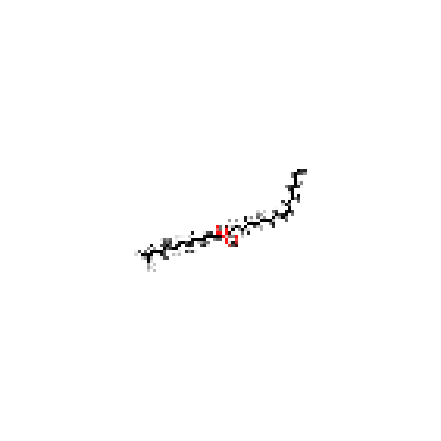 CCCCCC/C=C\CCCCCCCC(=O)OCCCCCCCCCCC(C)C